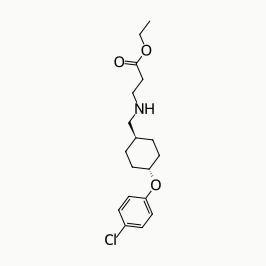 CCOC(=O)CCNC[C@H]1CC[C@H](Oc2ccc(Cl)cc2)CC1